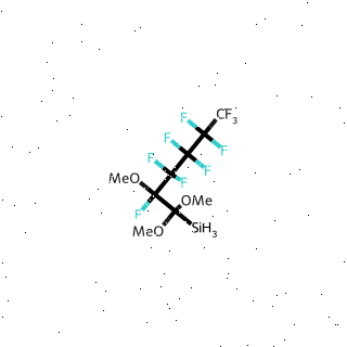 COC([SiH3])(OC)C(F)(OC)C(F)(F)C(F)(F)C(F)(F)C(F)(F)F